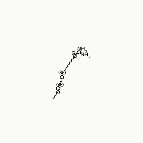 CCCCCOc1ccc(OC(=O)C=Cc2ccc(C(=O)OCCCCCCCCCCCOC(=O)c3cc(N)cc(N)c3)cc2)cc1